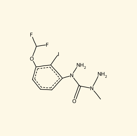 CN(N)C(=O)N(N)c1cccc(OC(F)F)c1I